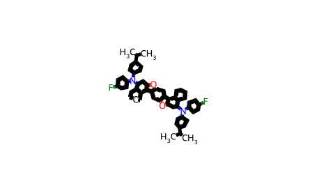 CC(C)c1ccc(N(c2ccc(F)cc2)c2cc3oc4cc5c(cc4c3c3ccccc23)oc2cc(N(c3ccc(F)cc3)c3ccc(C(C)C)cc3)c3ccccc3c25)cc1